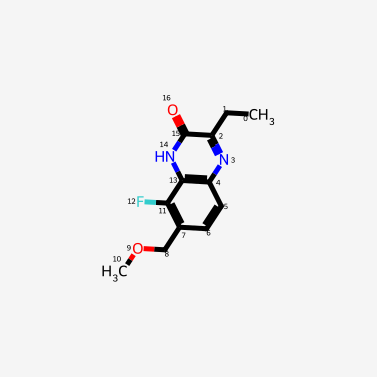 CCc1nc2ccc(COC)c(F)c2[nH]c1=O